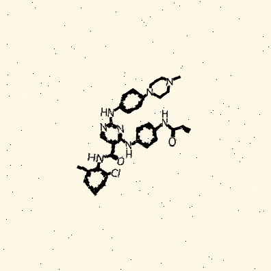 C=CC(=O)Nc1ccc(Nc2nc(Nc3ccc(N4CCN(C)CC4)cc3)ncc2C(=O)Nc2c(C)cccc2Cl)cc1